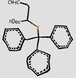 CCCCCCCCCCC(CC=O)SC(c1ccccc1)(c1ccccc1)c1ccccc1